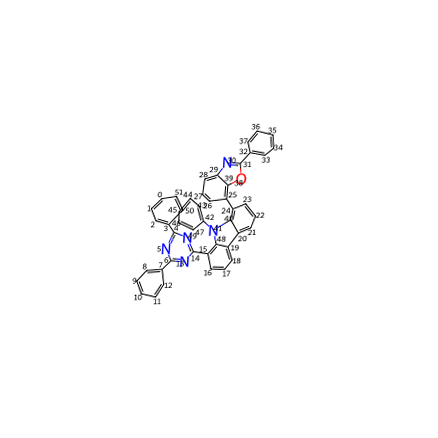 c1ccc(-c2nc(-c3ccccc3)nc(-c3cccc4c5cccc(-c6cccc7nc(-c8ccccc8)oc67)c5n(-c5ccccc5)c34)n2)cc1